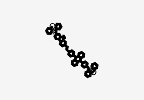 CC1(C)c2cc(/C=C/c3ccc(-c4c5ccccc5c(-c5ccc(N6c7ccccc7Oc7ccccc76)cc5)c5ccccc45)cc3)ccc2C2C=CC(N3c4ccccc4Oc4ccccc43)=CC21